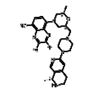 [2H]c1nc2c(C#N)ccc(N3C[C@H](CN4CCN(c5cc6c(cn5)[C@@H](C)NCC6)CC4)O[C@H](C)C3)c2nc1[2H]